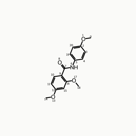 COc1ccc(NC(=O)c2ccc(OC)cc2OC)cc1